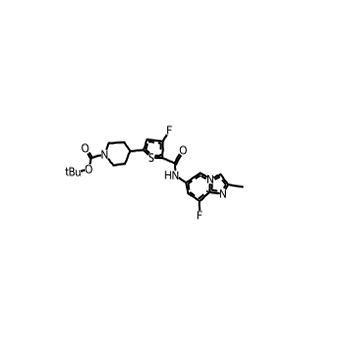 Cc1cn2cc(NC(=O)c3sc(C4CCN(C(=O)OC(C)(C)C)CC4)cc3F)cc(F)c2n1